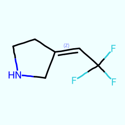 FC(F)(F)/C=C1/CCNC1